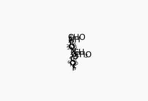 CN(CC(Cc1ccc(F)cc1)OC=O)c1ccc(CNC=O)cc1